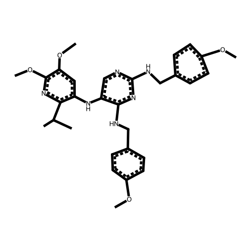 COc1ccc(CNc2ncc(Nc3cc(OC)c(OC)nc3C(C)C)c(NCc3ccc(OC)cc3)n2)cc1